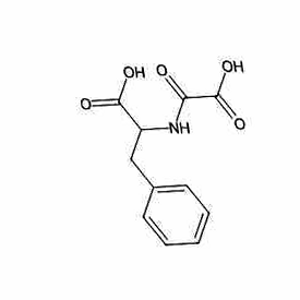 O=C(O)C(=O)NC(Cc1ccccc1)C(=O)O